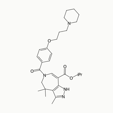 Cc1n[nH]c2c1C(C)(C)CN(C(=O)c1ccc(OCCCN3CCCCC3)cc1)C=C2C(=O)OC(C)C